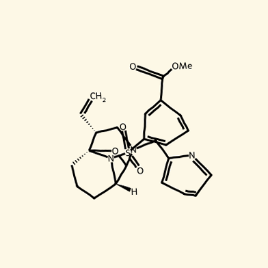 C=C[C@@H]1CN(Cc2ccccn2)C2O[C@]13CCC[C@@H]2N3S(=O)(=O)c1cccc(C(=O)OC)c1